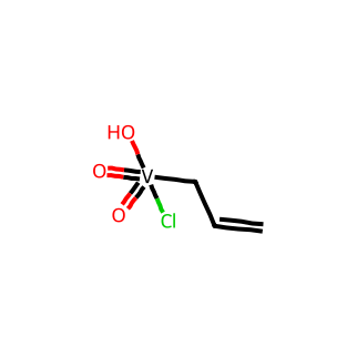 C=C[CH2][V](=[O])(=[O])([OH])[Cl]